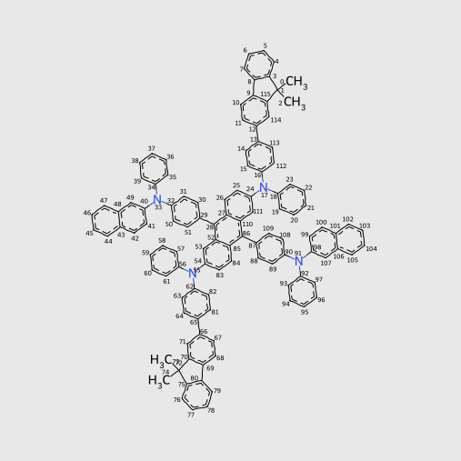 CC1(C)c2ccccc2-c2ccc(-c3ccc(N(c4ccccc4)c4ccc5c(-c6ccc(N(c7ccccc7)c7ccc8ccccc8c7)cc6)c6cc(N(c7ccccc7)c7ccc(-c8ccc9c(c8)C(C)(C)c8ccccc8-9)cc7)ccc6c(-c6ccc(N(c7ccccc7)c7ccc8ccccc8c7)cc6)c5c4)cc3)cc21